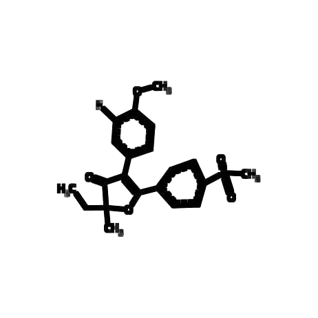 CCC1(C)OC(c2ccc(S(C)(=O)=O)cc2)=C(c2ccc(OC)c(F)c2)C1=O